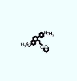 COc1ccc(C2CCc3cc(OC)ccc3C2CCCOC2CCCCO2)cc1